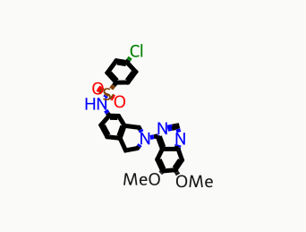 COc1cc2ncnc(N3CCc4ccc(NS(=O)(=O)c5ccc(Cl)cc5)cc4C3)c2cc1OC